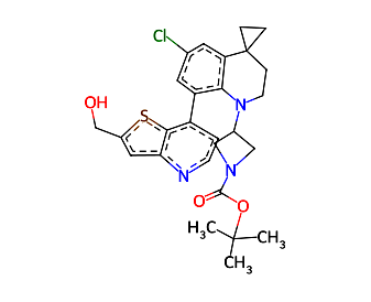 CC(C)(C)OC(=O)N1CC(N2CCC3(CC3)c3cc(Cl)cc(-c4ccnc5cc(CO)sc45)c32)C1